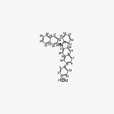 CC(C)(C)c1ccc(-c2ccc3cc4c5cccc6c7cc8ccccc8cc7n(c4cc3c2)c65)cc1